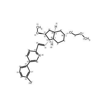 COCO[C@@H]1CC[C@@H]2[C@H](C1)C[C@H](OC)[C@H]2C=Cc1ccc(-c2cccc(F)c2)cn1